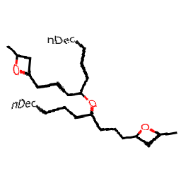 CCCCCCCCCCCCCC(CCCC1CC(C)O1)OC(CCCCCCCCCCCCC)CCCC1CC(C)O1